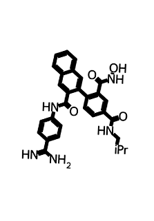 CC(C)CNC(=O)c1ccc(-c2cc3ccccc3cc2C(=O)Nc2ccc(C(=N)N)cc2)c(C(=O)NO)c1